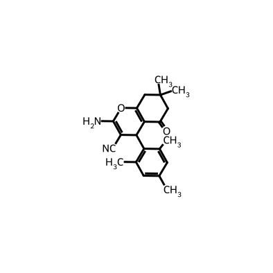 Cc1cc(C)c(C2C(C#N)=C(N)OC3=C2C(=O)CC(C)(C)C3)c(C)c1